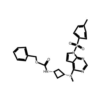 Cc1ccc(S(=O)(=O)n2ccc3c(N(C)[C@H]4C[C@@H](NC(=O)OCc5ccccc5)C4)ncnc32)cc1